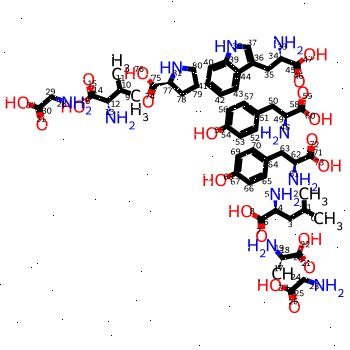 CC(C)C[C@H](N)C(=O)O.CC(C)[C@H](N)C(=O)O.C[C@H](N)C(=O)O.NCC(=O)O.NCC(=O)O.N[C@@H](Cc1c[nH]c2ccccc12)C(=O)O.N[C@@H](Cc1ccc(O)cc1)C(=O)O.N[C@@H](Cc1ccc(O)cc1)C(=O)O.O=C(O)[C@@H]1CCCN1